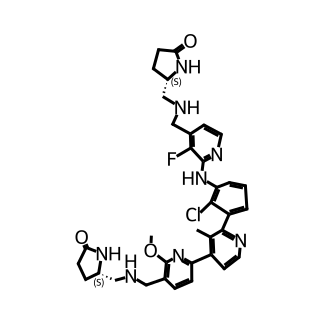 COc1nc(-c2ccnc(-c3cccc(Nc4nccc(CNC[C@@H]5CCC(=O)N5)c4F)c3Cl)c2C)ccc1CNC[C@@H]1CCC(=O)N1